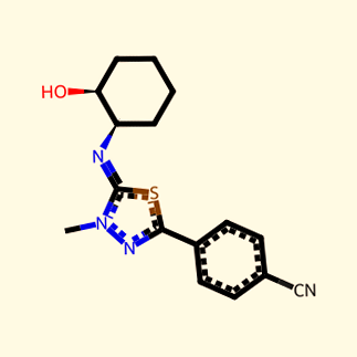 Cn1nc(-c2ccc(C#N)cc2)sc1=N[C@@H]1CCCC[C@@H]1O